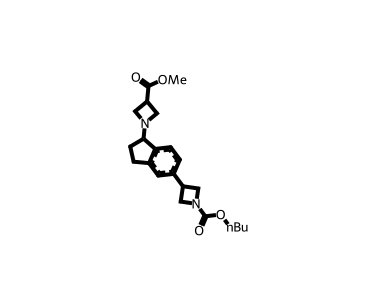 CCCCOC(=O)N1CC(c2ccc3c(c2)CCC3N2CC(C(=O)OC)C2)C1